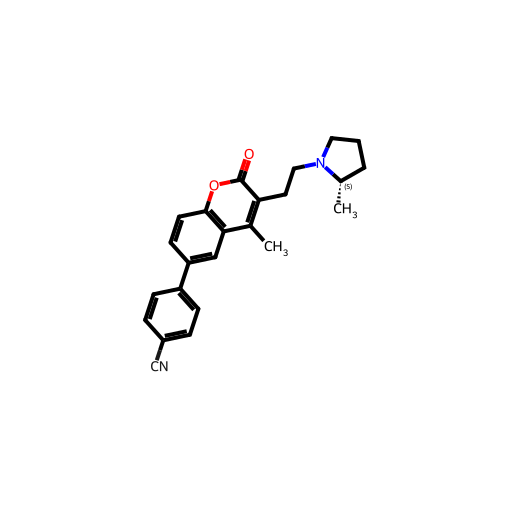 Cc1c(CCN2CCC[C@@H]2C)c(=O)oc2ccc(-c3ccc(C#N)cc3)cc12